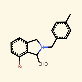 Cc1ccc(CN2Cc3cccc(Br)c3C2C=O)cc1